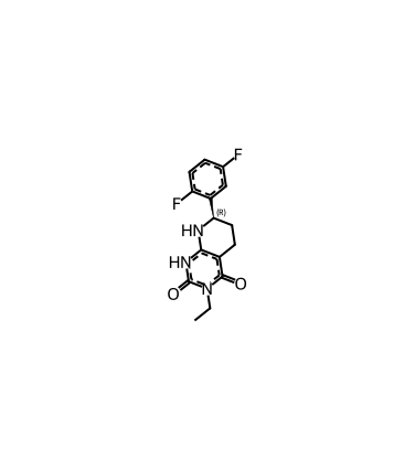 CCn1c(=O)[nH]c2c(c1=O)CC[C@H](c1cc(F)ccc1F)N2